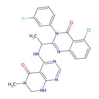 CC(Nc1ncnc2c1C(=O)N(C)CN2)c1nc2cccc(Cl)c2c(=O)n1-c1cccc(F)c1